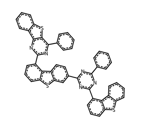 c1ccc(-c2nc(-c3ccc4c(c3)sc3cccc(-c5nc(-c6ccccc6)c6sc7ccccc7c6n5)c34)nc(-c3cccc4sc5ccccc5c34)n2)cc1